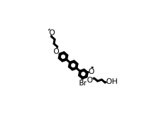 COCCCCOc1ccc(-c2ccc(-c3cc(Br)c(OCCCCO)c(OC)c3)cc2)cc1